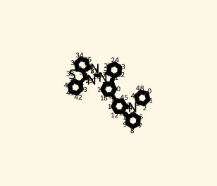 c1ccc(-n2c3ccccc3c3ccc(-c4ccc5c(c4)c4ccccc4n5-c4nc5c6c(cccc6n4)Sc4ccccc4-5)cc32)cc1